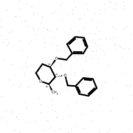 C[C@H]1OCC[C@@H](OCc2ccccc2)[C@@H]1OCc1ccccc1